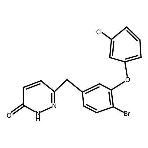 O=c1ccc(Cc2ccc(Br)c(Oc3cccc(Cl)c3)c2)n[nH]1